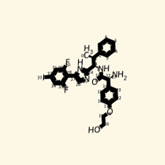 C[C@@H](c1ccccc1)[C@H](NC(=O)[C@H](N)c1ccc(OCCO)cc1)c1ncc(-c2c(F)cc(I)cc2F)[nH]1